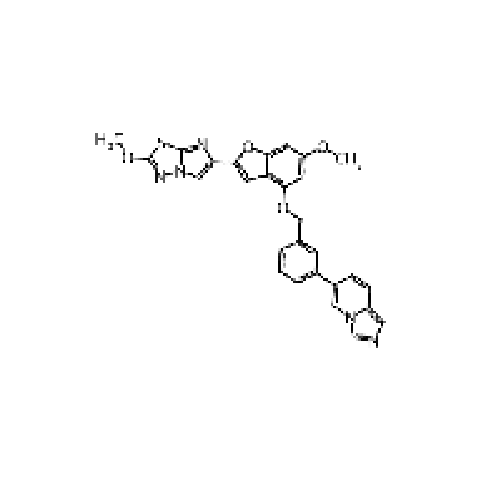 COc1cc(OCc2cccc(-c3ccc4cncn4c3)c2)c2cc(-c3cn4nc(OC)sc4n3)oc2c1